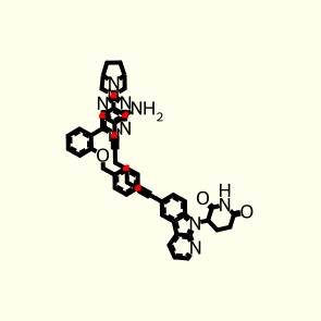 Nc1nnc(-c2ccccc2OCc2ccccc2)cc1N1CC2CCC(C1)N2c1ncc(C#CCCCC#Cc2ccc3c(c2)c2cccnc2n3C2CCC(=O)NC2=O)cn1